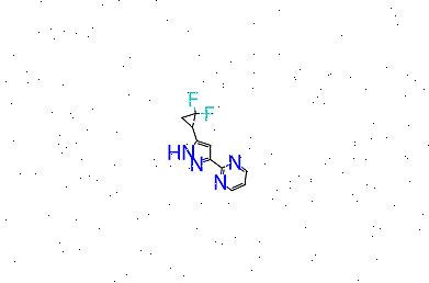 FC1(F)CC1c1cc(-c2ncccn2)n[nH]1